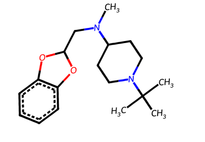 CN(CC1Oc2ccccc2O1)C1CCN(C(C)(C)C)CC1